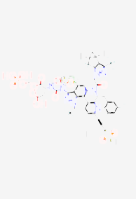 CN(C(=O)N(c1nn(CC(F)(F)F)c2c(-c3ccc(C#CC(C)(C)S(C)(=O)=O)nc3[C@H](Cc3cc(F)cc(F)c3)NC(=O)Cn3nc(C(F)(F)F)c4c3C(F)(F)[C@@H]3C[C@H]43)ccc(Cl)c12)S(C)(=O)=O)[C@@H](CC(=O)O)C(=O)OCOP(=O)(O)O